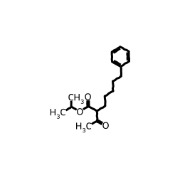 CC(=O)C(CCCCCc1ccccc1)C(=O)OC(C)C